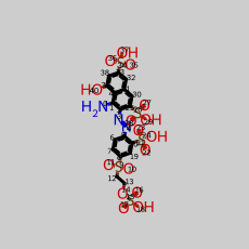 Nc1c(/N=N/c2ccc(S(=O)(=O)CCOS(=O)(=O)O)cc2S(=O)(=O)O)c(S(=O)(=O)O)cc2cc(S(=O)(=O)O)cc(O)c12